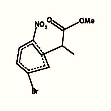 COC(=O)C(C)c1cc(Br)ccc1[N+](=O)[O-]